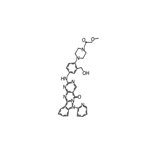 COCC(=O)N1CCN(c2ccc(Nc3ncc4c(=O)n5c(nc4n3)c3ccccc3n5-c3ccccn3)cc2CO)CC1